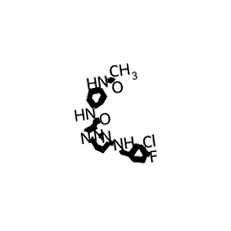 CC(=O)Nc1ccc(NC(=O)c2cnc3ccc(NCc4ccc(F)c(Cl)c4)nn23)cc1